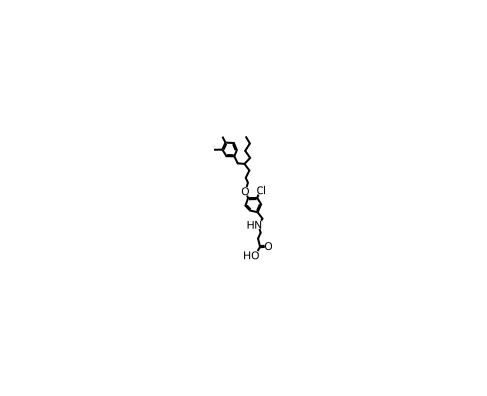 CCCCC(CCCOc1ccc(CNCCC(=O)O)cc1Cl)Cc1ccc(C)c(C)c1